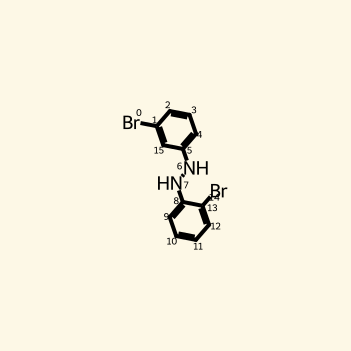 Brc1cccc(NNc2ccccc2Br)c1